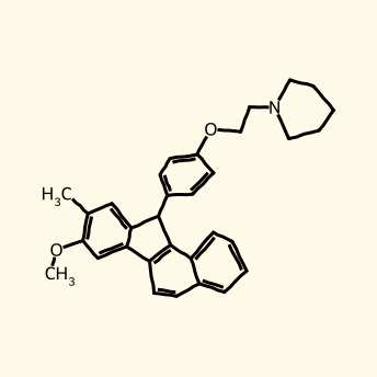 COc1cc2c(cc1C)C(c1ccc(OCCN3CCCCC3)cc1)c1c-2ccc2ccccc12